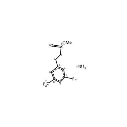 COC(=O)CCc1cc(F)cc(C(F)(F)F)c1.N